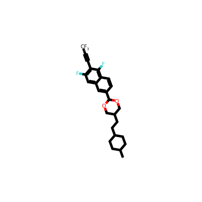 CC1CCC(CCC2COC(c3ccc4c(F)c(C#CC(F)(F)F)c(F)cc4c3)OC2)CC1